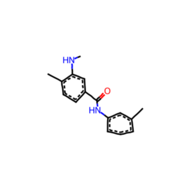 CNc1cc(C(=O)Nc2cccc(C)c2)ccc1C